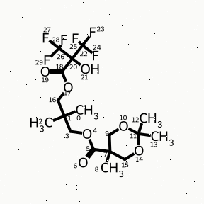 CC(C)(COC(=O)C1(C)COC(C)(C)OC1)COC(=O)C(O)(C(F)(F)F)C(F)(F)F